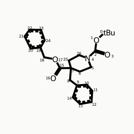 CC(C)(C)OC(=O)N1CCC(Cc2ccccc2)(C(=O)OCc2ccccc2)CC1